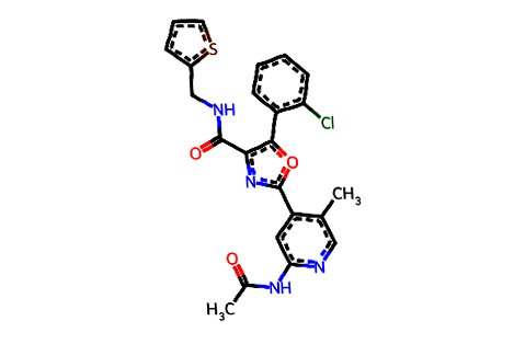 CC(=O)Nc1cc(-c2nc(C(=O)NCc3cccs3)c(-c3ccccc3Cl)o2)c(C)cn1